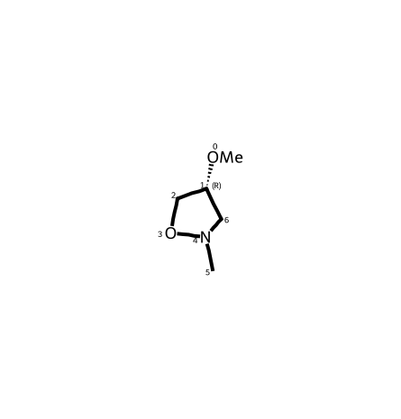 CO[C@H]1CON(C)C1